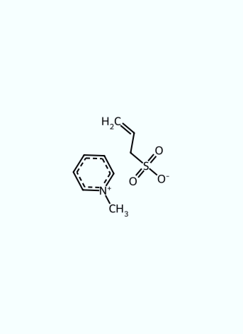 C=CCS(=O)(=O)[O-].C[n+]1ccccc1